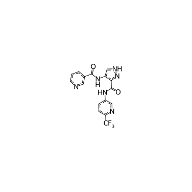 O=C(Nc1c[nH]nc1C(=O)Nc1ccc(C(F)(F)F)nc1)c1cccnc1